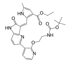 CCOC(=O)c1cc(C)[nH]c1/C=C1\C(=O)Nc2ccc(-c3cccnc3OCCNC(=O)OC(C)(C)C)nc21